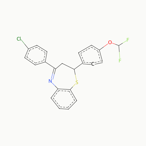 FC(F)Oc1ccc(C2CC(c3ccc(Cl)cc3)=Nc3ccccc3S2)cc1